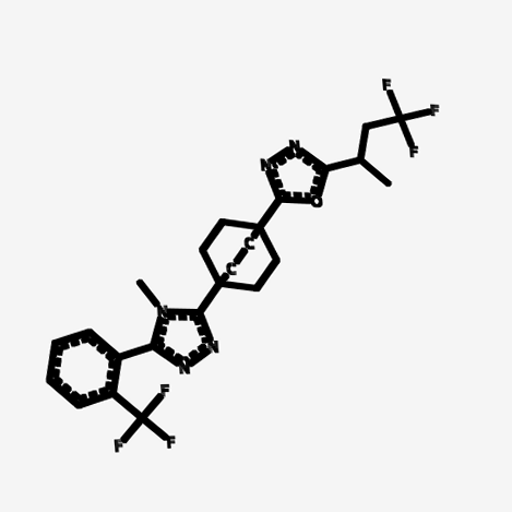 CC(CC(F)(F)F)c1nnc(C23CCC(c4nnc(-c5ccccc5C(F)(F)F)n4C)(CC2)CC3)o1